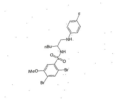 CCCCC(CNc1ccc(F)cc1)NS(=O)(=O)c1cc(OC)c(Br)cc1Br